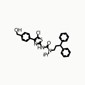 CC(C)N(CCC(c1ccccc1)c1ccccc1)C(=O)Nc1nc(-c2ccc(CO)cc2)c(Cl)s1